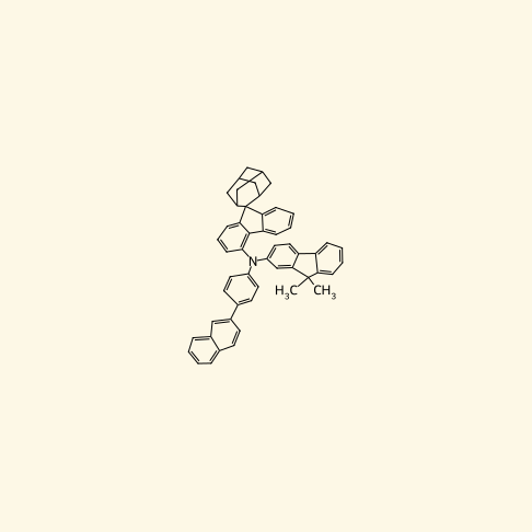 CC1(C)c2ccccc2-c2ccc(N(c3ccc(-c4ccc5ccccc5c4)cc3)c3cccc4c3-c3ccccc3C43C4CC5CC(C4)CC3C5)cc21